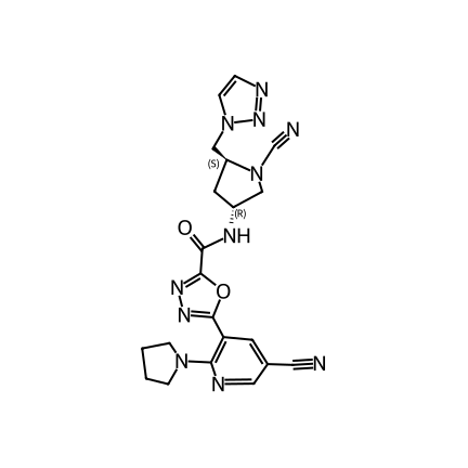 N#Cc1cnc(N2CCCC2)c(-c2nnc(C(=O)N[C@@H]3C[C@@H](Cn4ccnn4)N(C#N)C3)o2)c1